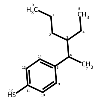 CCCC(CC)C(C)c1ccc(S)cc1